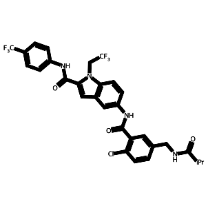 CC(C)C(=O)NCc1ccc(Cl)c(C(=O)Nc2ccc3c(c2)cc(C(=O)Nc2ccc(C(F)(F)F)cc2)n3CC(F)(F)F)c1